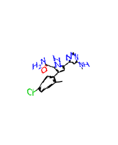 CNc1cc(-c2cc(-c3cc(Cl)ccc3C)c(C(N)=O)[nH]2)ncn1